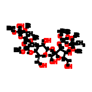 CCO[Si](C)(O[C@H]1C[C@@H](O)[C@@H](OC2(CO)O[C@H](CO)[C@@H](O)[C@@H]2O[Si](OCC)(OCC)O[Si](C)(OCC)OCC)O[C@@H]1CO)O[Si](C)(OCC)O[Si](O)(OCC)OCC